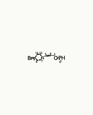 CPOCC#Cc1ccc(Br)cc1